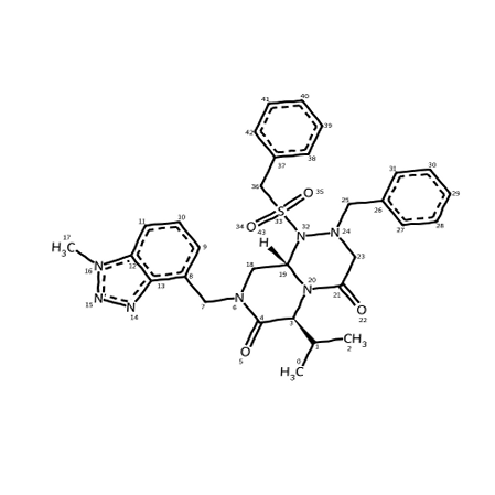 CC(C)[C@H]1C(=O)N(Cc2cccc3c2nnn3C)C[C@H]2N1C(=O)CN(Cc1ccccc1)N2S(=O)(=O)Cc1ccccc1